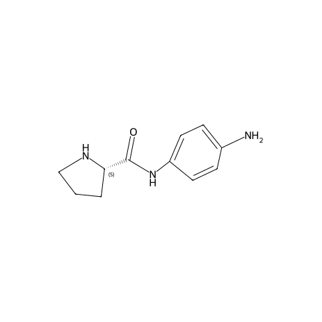 Nc1ccc(NC(=O)[C@@H]2CCCN2)cc1